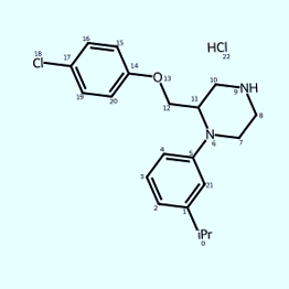 CC(C)c1cccc(N2CCNCC2COc2ccc(Cl)cc2)c1.Cl